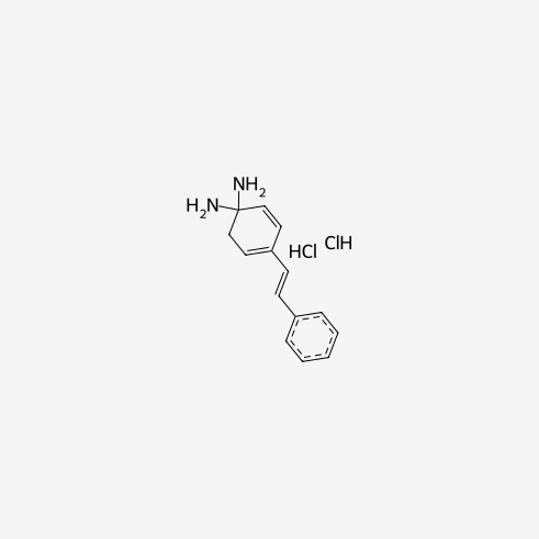 Cl.Cl.NC1(N)C=CC(C=Cc2ccccc2)=CC1